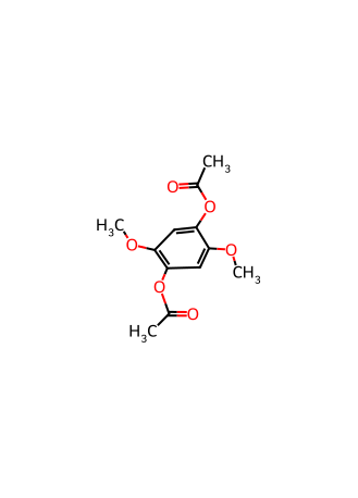 COc1cc(OC(C)=O)c(OC)cc1OC(C)=O